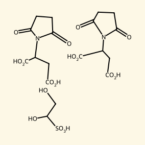 O=C(O)CC(C(=O)O)N1C(=O)CCC1=O.O=C(O)CC(C(=O)O)N1C(=O)CCC1=O.O=S(=O)(O)C(O)CO